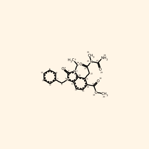 CCn1c(=O)n(Cc2ccccc2)c2ccc(C(=O)OC)c(CC(=O)N(C)C(N)=O)c21